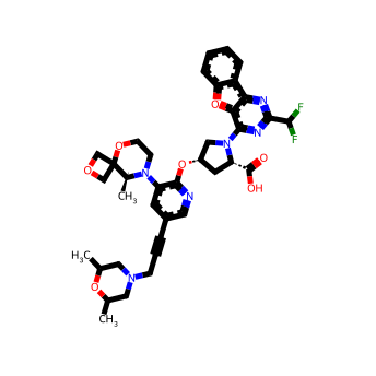 CC1CN(CC#Cc2cnc(O[C@H]3C[C@@H](C(=O)O)N(c4nc(C(F)F)nc5c4oc4ccccc45)C3)c(N3CCOC4(COC4)[C@@H]3C)c2)CC(C)O1